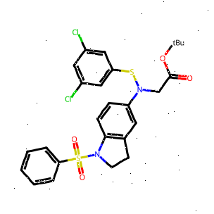 CC(C)(C)OC(=O)CN(Sc1cc(Cl)cc(Cl)c1)c1ccc2c(c1)CCN2S(=O)(=O)c1ccccc1